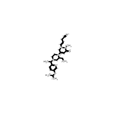 CCC1CN(C(C)c2ccc(OC(C)C)cn2)CCN1C1=CC(=O)N(C)N(/C=C/CC#N)C1